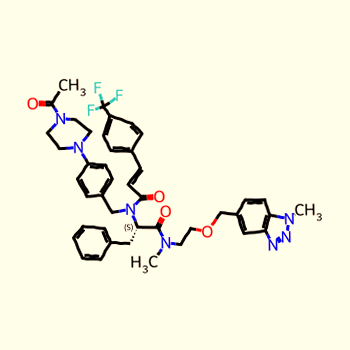 CC(=O)N1CCN(c2ccc(CN(C(=O)C=Cc3ccc(C(F)(F)F)cc3)[C@@H](Cc3ccccc3)C(=O)N(C)CCOCc3ccc4c(c3)nnn4C)cc2)CC1